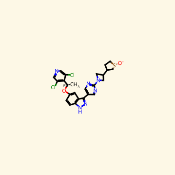 C[C@@H](Oc1ccc2[nH]nc(-c3cnc(N4CC(C5CC[S+]([O-])C5)C4)nc3)c2c1)c1c(Cl)cncc1Cl